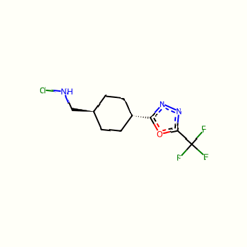 FC(F)(F)c1nnc([C@H]2CC[C@H](CNCl)CC2)o1